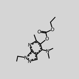 CCOC(=O)Oc1c(C)nc2c(cnn2CC)c1N(C)C